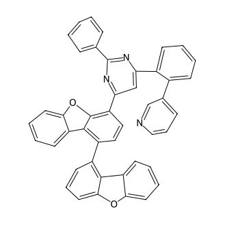 c1ccc(-c2nc(-c3ccccc3-c3cccnc3)cc(-c3ccc(-c4cccc5oc6ccccc6c45)c4c3oc3ccccc34)n2)cc1